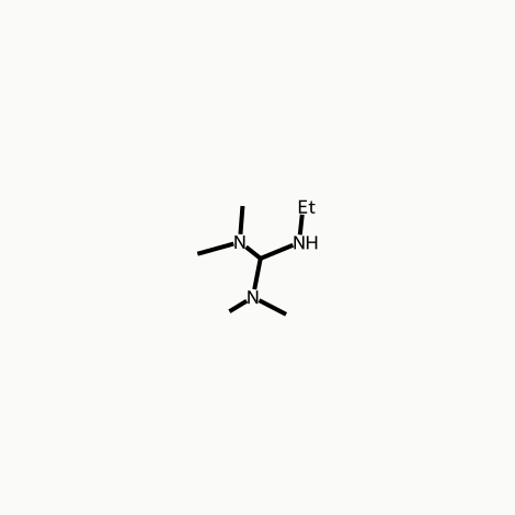 CCNC(N(C)C)N(C)C